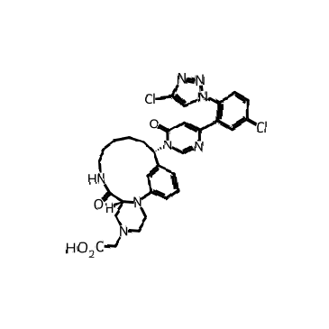 O=C(O)CN1CCN2c3cccc(c3)[C@@H](n3cnc(-c4cc(Cl)ccc4-n4cc(Cl)nn4)cc3=O)CCCCCNC(=O)[C@H]2C1